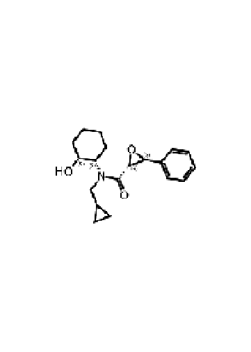 O=C([C@@H]1O[C@H]1c1ccccc1)N(CC1CC1)[C@H]1CCCC[C@@H]1O